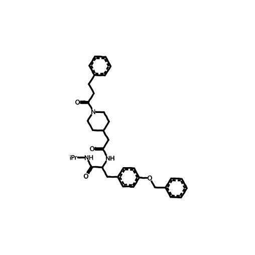 CC(C)NC(=O)C(Cc1ccc(OCc2ccccc2)cc1)NC(=O)CC1CCN(C(=O)CCc2ccccc2)CC1